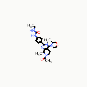 CCNC(=O)Nc1ccc(-c2nc3c(c(N4CCOC[C@@H]4C)n2)CCN(C(C)=O)[C@@H]3C)cc1